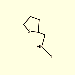 INCC1CCCS1